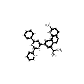 Cc1ccc2ccc3c(C(C)C)cc(-c4cc(-c5ccccc5)nc(-c5ccccn5)n4)cc3c2n1